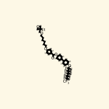 CCC1(COCCCCCCOc2ccc(C(=O)Oc3ccc(-c4ccc(OC(F)(F)C(F)(F)C(F)(F)C(F)(F)C(F)(F)C(F)(F)F)cc4)cc3)cc2)COC1